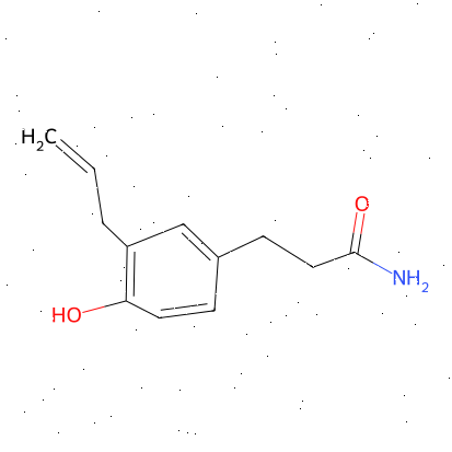 C=CCc1cc(CCC(N)=O)ccc1O